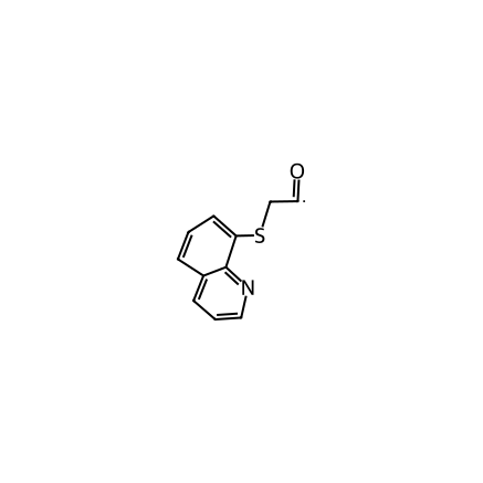 O=[C]CSc1cccc2cccnc12